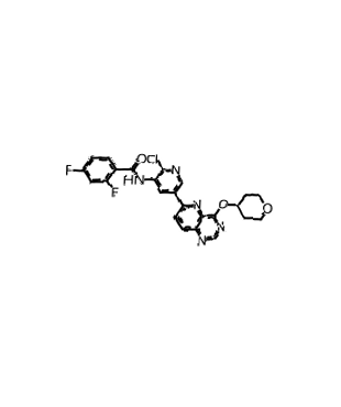 O=C(Nc1cc(-c2ccc3ncnc(OC4CCOCC4)c3n2)cnc1Cl)c1ccc(F)cc1F